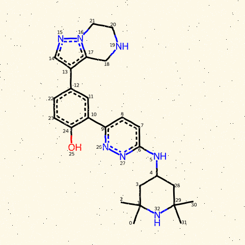 CC1(C)CC(Nc2ccc(-c3cc(-c4cnn5c4CNCC5)ccc3O)nn2)CC(C)(C)N1